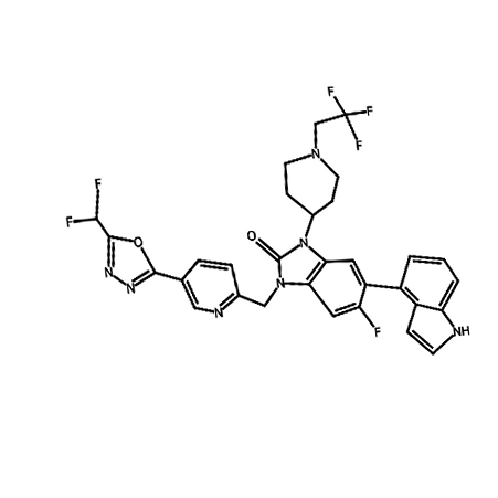 O=c1n(Cc2ccc(-c3nnc(C(F)F)o3)cn2)c2cc(F)c(-c3cccc4[nH]ccc34)cc2n1C1CCN(CC(F)(F)F)CC1